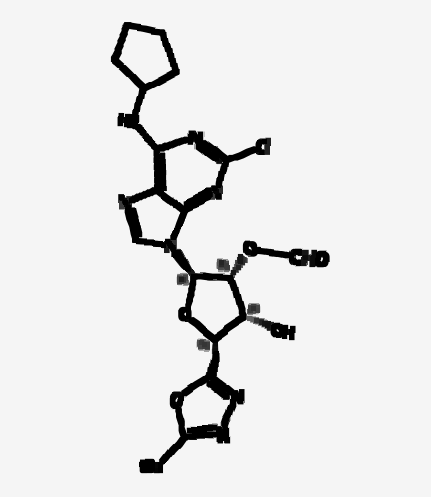 CC(C)(C)c1nnc([C@H]2O[C@@H](n3cnc4c(NC5CCCC5)nc(Cl)nc43)[C@H](OC=O)[C@@H]2O)o1